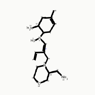 C=C/C(=C\N(O)C1CC=C(C)CC1N)CN1CCOCC1CN